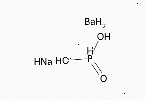 O=[PH](O)O.[BaH2].[NaH]